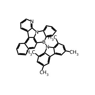 Cc1cc(C)c2c(c1)c1cc(C)cc(C)c1n2B1c2ccccc2-n2c3ncccc3c3c4ccccc4cc1c32